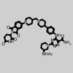 CC(=O)NC1CCCN(c2nnc(C(N)=O)c(Nc3ccc(C4CCN(CC5CCN(c6ccc7c(c6)C(=O)N(C6CCC(=O)NC6=O)C7=O)CC5)CC4)cc3)n2)C1